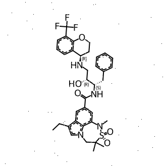 CCc1cn2c3c(cc(C(=O)N[C@@H](Cc4ccccc4)[C@H](O)CN[C@@H]4CCOc5c4cccc5C(F)(F)F)cc13)N(C)S(=O)(=O)C(C)(C)C2